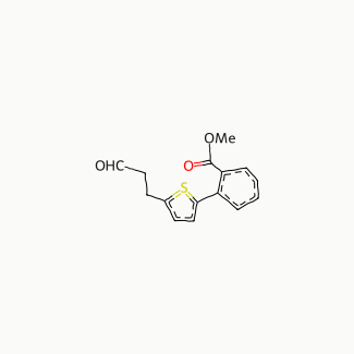 COC(=O)c1ccccc1-c1ccc(CCC=O)s1